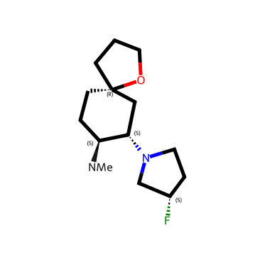 CN[C@H]1CC[C@@]2(CCCO2)C[C@@H]1N1CC[C@H](F)C1